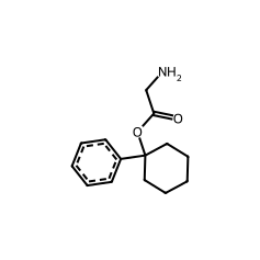 NCC(=O)OC1(c2ccccc2)CCCCC1